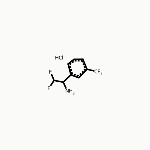 Cl.NC(c1cccc(C(F)(F)F)c1)C(F)F